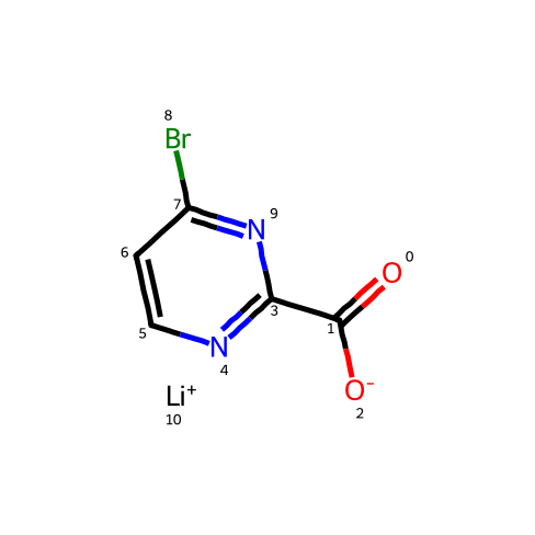 O=C([O-])c1nccc(Br)n1.[Li+]